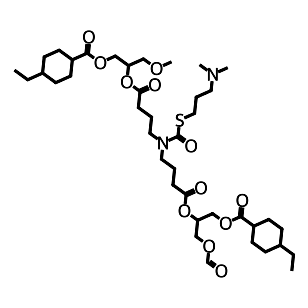 CCC1CCC(C(=O)OCC(COC)OC(=O)CCCN(CCCC(=O)OC(COC=O)COC(=O)C2CCC(CC)CC2)C(=O)SCCCN(C)C)CC1